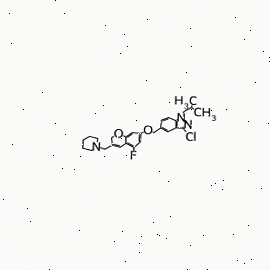 CC(C)Cn1nc(Cl)c2cc(COc3cc(F)c4c(c3)OCC(CN3CCCCC3)=C4)ccc21